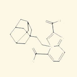 NC(=O)C1=C[N+]2(CCC34CC5CC(CC(C5)C3)C4)C(C(N)=O)=CC=CC2=N1